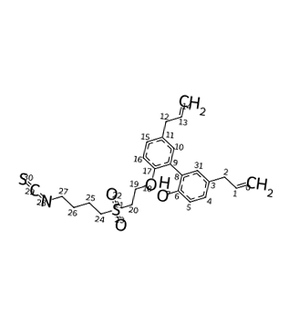 C=CCc1ccc(O)c(-c2cc(CC=C)ccc2OCCS(=O)(=O)CCCCN=C=S)c1